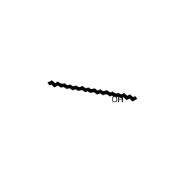 CCCCCCCCCCCCCCCCCCCCCCC(O)CCCCCCC